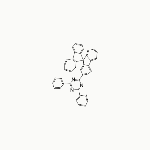 C1=CCC2=C(C=C1)c1ccccc1C21c2ccccc2-c2ccc(-c3nc(-c4ccccc4)nc(-c4ccccc4)n3)cc21